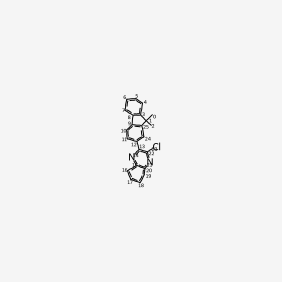 CC1(C)c2ccccc2-c2ccc(-c3nc4ccccc4nc3Cl)cc21